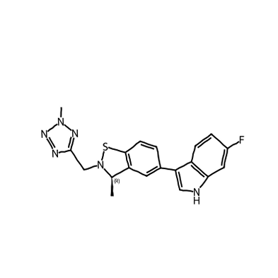 C[C@@H]1c2cc(-c3c[nH]c4cc(F)ccc34)ccc2SN1Cc1nnn(C)n1